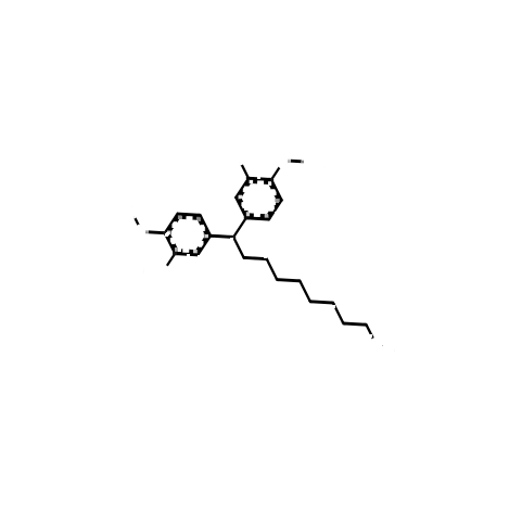 CCCCCCCCCC(c1ccc(OC)c(C)c1)c1ccc(OC)c(C)c1